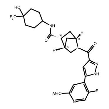 COc1cc(-c2cc(C(=O)N3C[C@H]4C[C@@H]3C[C@H]4C(=O)NC3CCC(O)(C(F)(F)F)CC3)n[nH]2)c(F)cn1